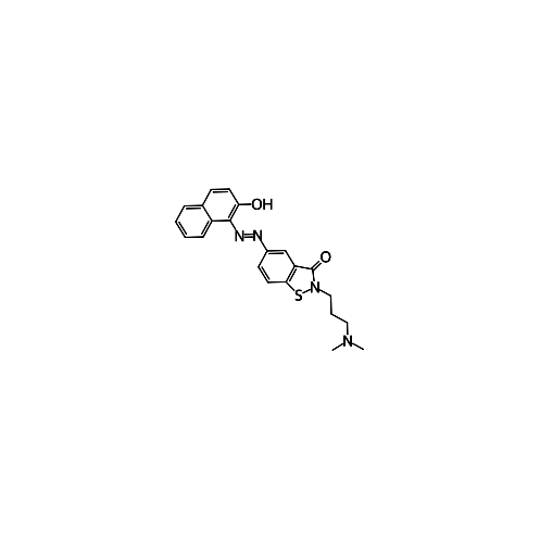 CN(C)CCCn1sc2ccc(N=Nc3c(O)ccc4ccccc34)cc2c1=O